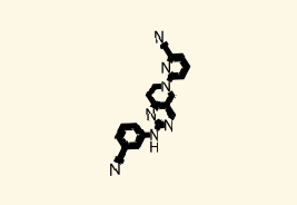 N#Cc1cccc(Nc2ncc3c(n2)CCN(c2cccc(C#N)n2)C3)c1